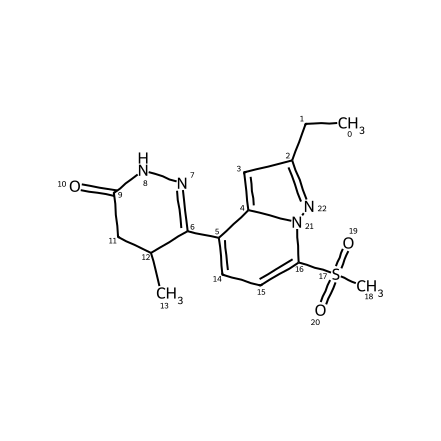 CCc1cc2c(C3=NNC(=O)CC3C)ccc(S(C)(=O)=O)n2n1